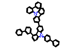 c1ccc(-c2ccc(-n3c4ccc(-c5ccc6c(c5)c5ccccc5n6-c5ccccc5-c5ccccc5)cc4c4c(-c5cccc(-c6ccccc6)c5)cccc43)cc2)cc1